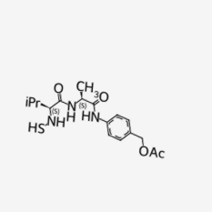 CC(=O)OCc1ccc(NC(=O)[C@H](C)NC(=O)[C@@H](NS)C(C)C)cc1